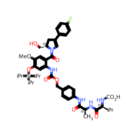 COc1cc(C(=O)N2C=C(c3ccc(F)cc3)C[C@H]2CO)c(NC(=O)OCc2ccc(NC(=O)[C@H](C)NC(=O)[C@@H](NC(=O)O)C(C)C)cc2)cc1O[Si](C(C)C)(C(C)C)C(C)C